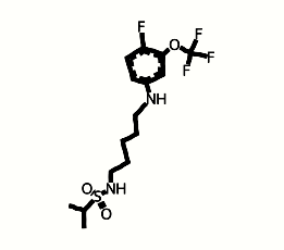 CC(C)S(=O)(=O)NCCCCCNc1ccc(F)c(OC(F)(F)F)c1